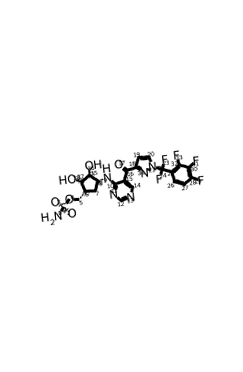 NS(=O)(=O)OC[C@H]1C[C@@H](Nc2ncncc2C(=O)c2ccn(C(F)(F)c3ccc(F)c(F)c3F)n2)[C@H](O)[C@@H]1O